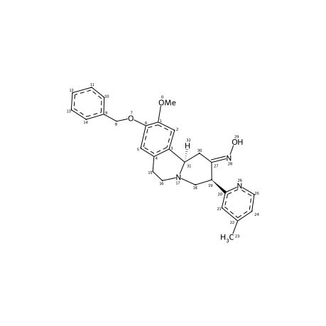 COc1cc2c(cc1OCc1ccccc1)CCN1C[C@H](c3cc(C)ccn3)C(=NO)C[C@H]21